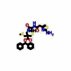 CSCC1(C(=O)OC(c2ccccc2)c2ccccc2)CS[C@@H]2C(NC(=O)Cc3csc(N)n3)C(=O)N2C1